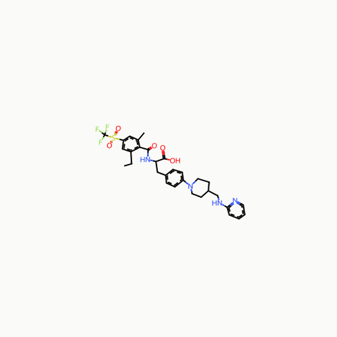 CCc1cc(S(=O)(=O)C(F)(F)F)cc(C)c1C(=O)NC(Cc1ccc(N2CCC(CNc3ccccn3)CC2)cc1)C(=O)O